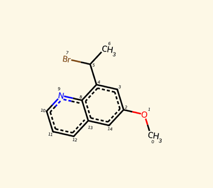 COc1cc(C(C)Br)c2ncccc2c1